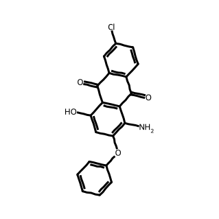 Nc1c(Oc2ccccc2)cc(O)c2c1C(=O)c1ccc(Cl)cc1C2=O